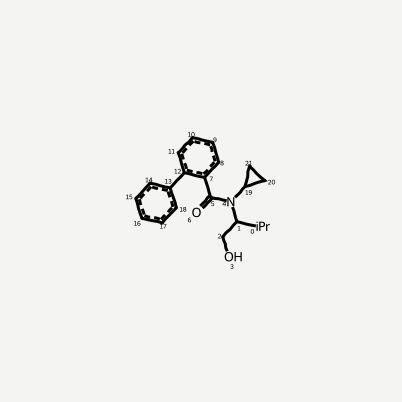 CC(C)C(CO)N(C(=O)c1ccccc1-c1ccccc1)C1CC1